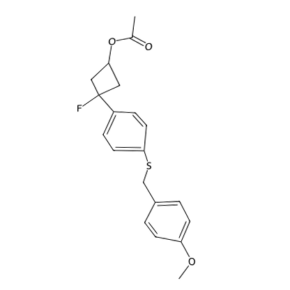 COc1ccc(CSc2ccc(C3(F)CC(OC(C)=O)C3)cc2)cc1